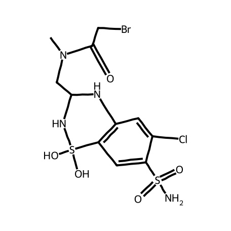 CN(CC1Nc2cc(Cl)c(S(N)(=O)=O)cc2S(O)(O)N1)C(=O)CBr